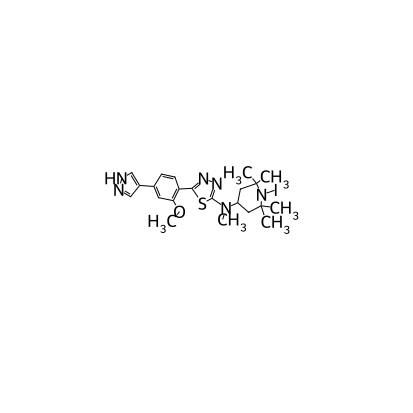 COc1cc(-c2cn[nH]c2)ccc1-c1nnc(N(C)C2CC(C)(C)N(I)C(C)(C)C2)s1